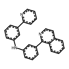 c1ccc(-c2cccc(Nc3cccc(-c4nccc5ccccc45)c3)c2)nc1